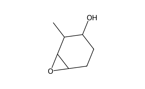 CC1C(O)CCC2OC21